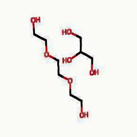 OCC(O)CO.OCCOCCOCCO